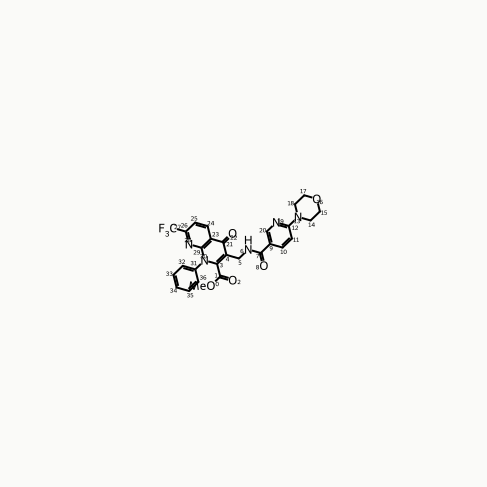 COC(=O)c1c(CNC(=O)c2ccc(N3CCOCC3)nc2)c(=O)c2ccc(C(F)(F)F)nc2n1-c1ccccc1